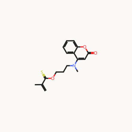 C=C(C)C(=S)OCCCN(C)c1cc(=O)oc2ccccc12